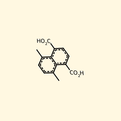 Cc1ccc(C)c2c(C(=O)O)ccc(C(=O)O)c12